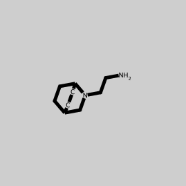 NCCN1CC2CCC1CC2